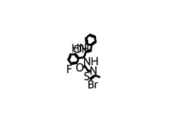 Cc1nc(C(=O)N[C@@H](c2cc3ccccc3[nH]2)c2cc(F)ccc2O)sc1Br